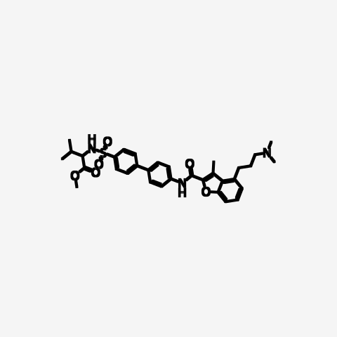 COC(=O)C(NS(=O)(=O)c1ccc(-c2ccc(NC(=O)c3oc4cccc(CCCN(C)C)c4c3C)cc2)cc1)C(C)C